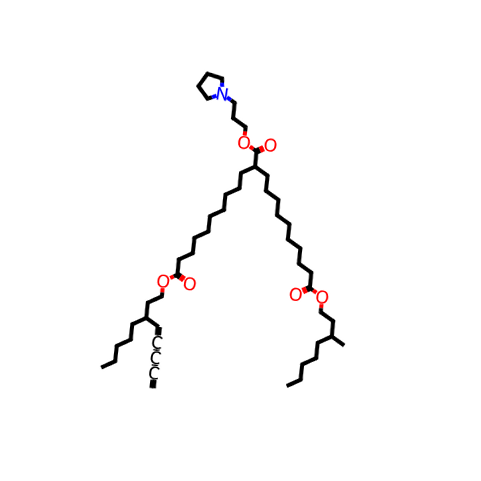 C=C=C=C=CC(CCCCC)CCOC(=O)CCCCCCCCCC(CCCCCCCCCC(=O)OCCC(C)CCCCC)C(=O)OCCCN1CCCC1